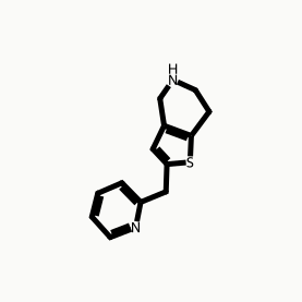 c1ccc(Cc2cc3c(s2)CCNC3)nc1